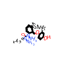 CCc1cc(O)ccc1OCc1c(SC)cccc1N(N)C(=O)N(C)N